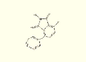 N=C1c2c(-c3ccccc3)ccc(Cl)c2C(=O)N1S